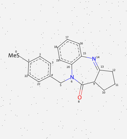 CSc1ccc(CN2C(=O)C3CCCC3=Nc3ccccc32)cc1